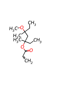 C=CC(=O)OC(C)(CC)CC(C)(CC)OC